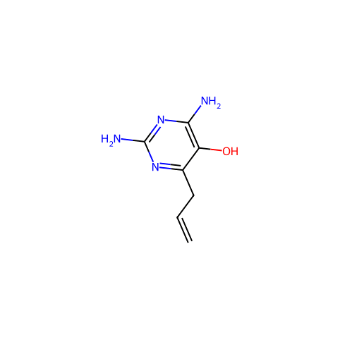 C=CCc1nc(N)nc(N)c1O